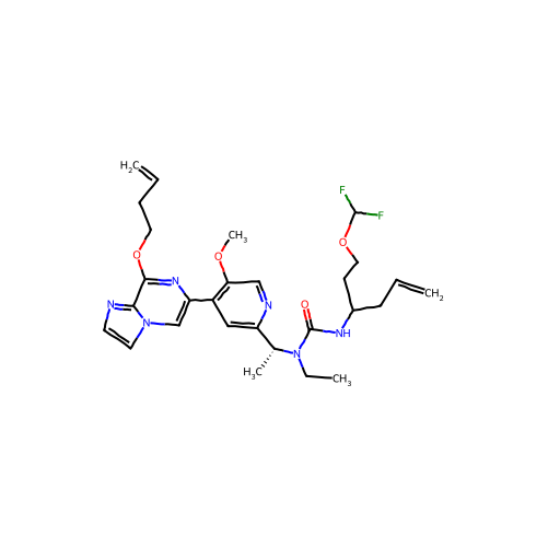 C=CCCOc1nc(-c2cc([C@@H](C)N(CC)C(=O)NC(CC=C)CCOC(F)F)ncc2OC)cn2ccnc12